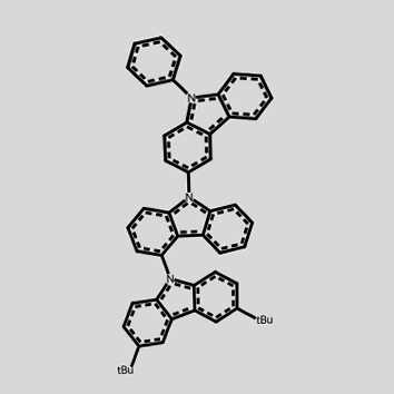 CC(C)(C)c1ccc2c(c1)c1cc(C(C)(C)C)ccc1n2-c1cccc2c1c1ccccc1n2-c1ccc2c(c1)c1ccccc1n2-c1ccccc1